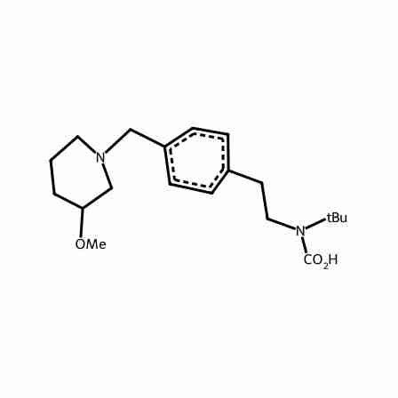 COC1CCCN(Cc2ccc(CCN(C(=O)O)C(C)(C)C)cc2)C1